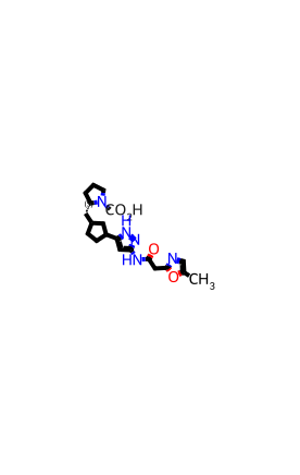 Cc1cnc(CC(=O)Nc2cc(C3CCC(C[C@@H]4CCCN4C(=O)O)C3)[nH]n2)o1